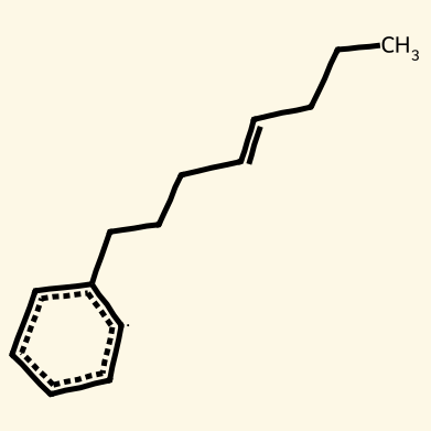 CCCC=CCCCc1[c]cccc1